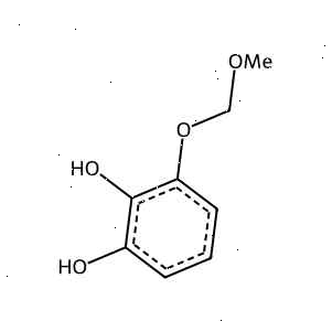 COCOc1cccc(O)c1O